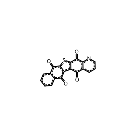 O=c1c2ccccc2c(=O)c2c1sc1c(=O)c3ncccc3c(=O)c12